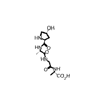 C[C@H](NC(=O)CNC(=O)[C@H](C)NC(=O)[C@@H]1C[C@@H](O)CN1)C(=O)O